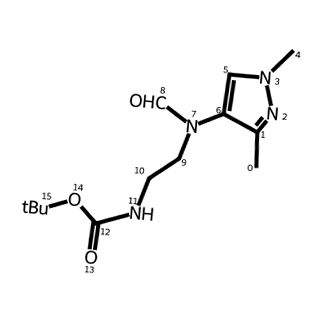 Cc1nn(C)cc1N(C=O)CCNC(=O)OC(C)(C)C